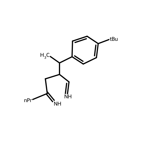 CCCC(=N)CC(C=N)C(C)c1ccc(C(C)(C)C)cc1